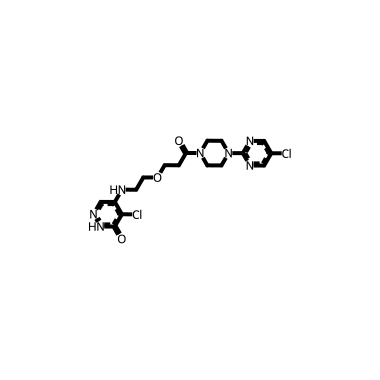 O=C(CCOCCNc1cn[nH]c(=O)c1Cl)N1CCN(c2ncc(Cl)cn2)CC1